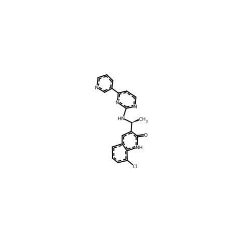 C[C@H](Nc1nccc(-c2cccnc2)n1)c1cc2cccc(Cl)c2[nH]c1=O